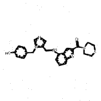 N#Cc1ccc(Cn2cncc2CNc2cccc3sc(C(=O)N4CCSCC4)cc23)cc1